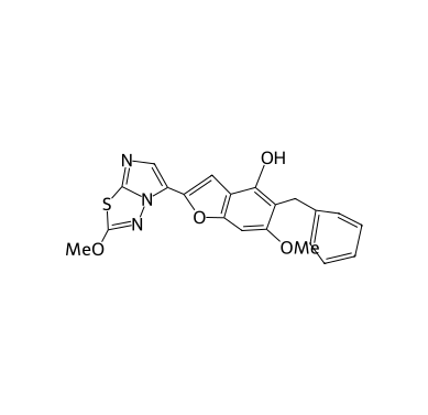 COc1nn2c(-c3cc4c(O)c(Cc5ccccc5)c(OC)cc4o3)cnc2s1